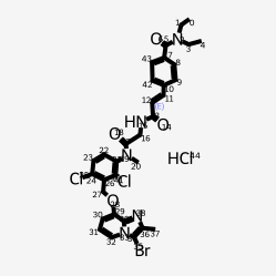 CCN(CC)C(=O)c1ccc(/C=C/C(=O)NCC(=O)N(C)c2ccc(Cl)c(COc3cccn4c(Br)c(C)nc34)c2Cl)cc1.Cl